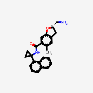 Cc1cc2c(cc1C(=O)NC1(c3cccc4ccccc34)CC1)O[C@H](CN)C2